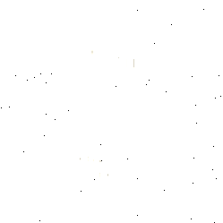 CCCC[C@H](O)C/C(C)=C/CC1C(C)CC[C@@]2(C)C1CC[C@@H]2[C@H](C)CCC(=O)O